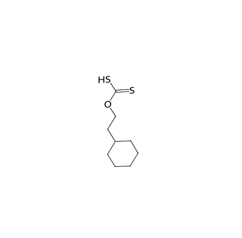 S=C(S)OCCC1CCCCC1